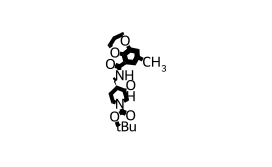 Cc1cc2c(c(C(=O)NC[C@H]3CCN(C(=O)OC(C)(C)C)C[C@H]3O)c1)OCCCO2